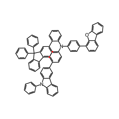 c1ccc(-n2c3ccccc3c3cc(-c4ccc(N(c5ccc(-c6cccc7c6oc6ccccc67)cc5)c5ccccc5-c5ccc6c(c5)C(c5ccccc5)(c5ccccc5)c5ccccc5-6)cc4)ccc32)cc1